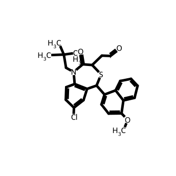 COc1ccc(C2SC(C[C]=O)C(=O)N(CC(C)(C)C)c3ccc(Cl)cc32)c2ccccc12